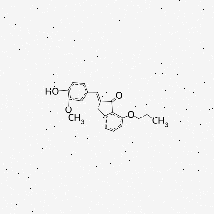 CCCOc1cccc2c1C(=O)/C(=C/c1ccc(O)c(OC)c1)C2